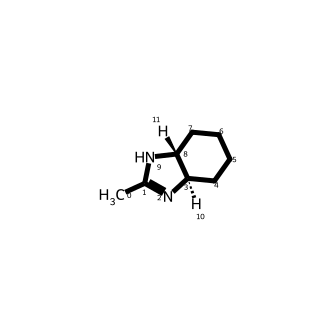 CC1=N[C@@H]2CCCC[C@H]2N1